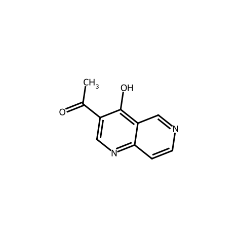 CC(=O)c1cnc2ccncc2c1O